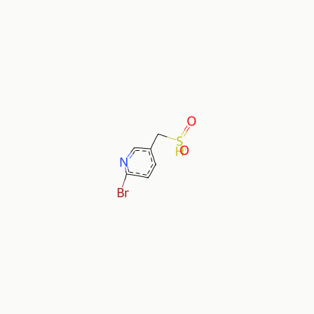 O=[SH](=O)Cc1ccc(Br)nc1